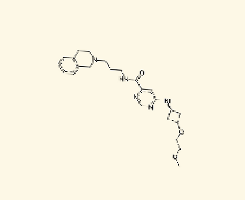 COCCO[C@H]1C[C@@H](Nc2cc(C(=O)NCCCN3CCc4ccccc4C3)ncn2)C1